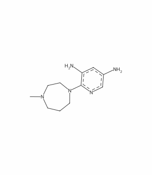 CN1CCCN(c2ncc(N)cc2N)CC1